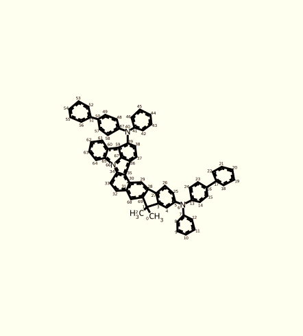 CC1(C)c2cc(N(c3ccccc3)c3ccc(-c4ccccc4)cc3)ccc2-c2cc3c(ccc4c3c3ccc(N(c5ccccc5)c5ccc(-c6ccccc6)cc5)c5c6ccccc6n4c35)cc21